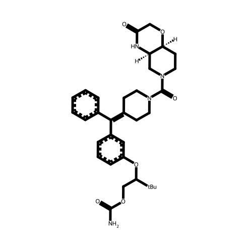 CC(C)(C)C(COC(N)=O)Oc1cccc(C(=C2CCN(C(=O)N3CC[C@@H]4OCC(=O)N[C@@H]4C3)CC2)c2ccccc2)c1